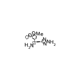 COc1ccc(C2(C#Cc3cnc(N)nc3)CC(N)C2)cc1OC1CCCC1